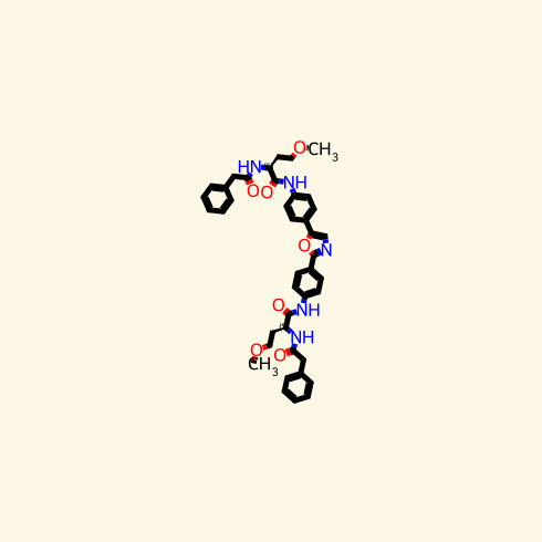 COCC[C@H](NC(=O)Cc1ccccc1)C(=O)Nc1ccc(-c2cnc(-c3ccc(NC(=O)[C@H](CCOC)NC(=O)Cc4ccccc4)cc3)o2)cc1